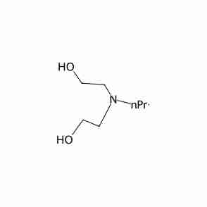 CC[CH]N(CCO)CCO